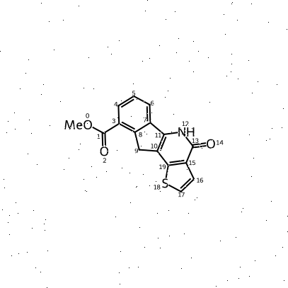 COC(=O)c1cccc2c1Cc1c-2[nH]c(=O)c2ccsc12